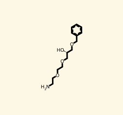 NCCOCCOC[C@H](O)COCc1ccccc1